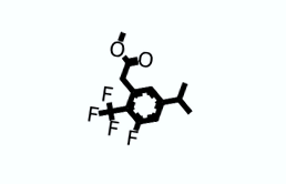 COC(=O)Cc1cc(C(C)C)cc(F)c1C(F)(F)F